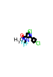 Cn1c(C(F)(F)F)nc2c(-c3ccc(Cl)cc3)nc(Cl)cc2c1=O